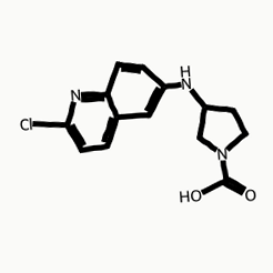 O=C(O)N1CCC(Nc2ccc3nc(Cl)ccc3c2)C1